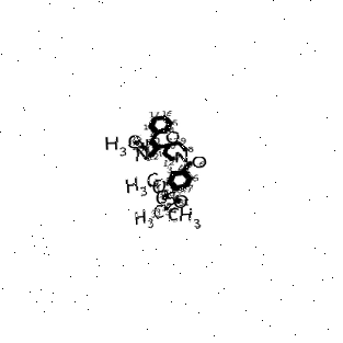 COc1cc(C(=O)N2CCC3(CC2)Oc2ccccc2-c2c3cnn2C)ccc1S(=O)(=O)C(C)C